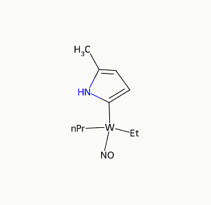 CC[CH2][W]([CH2]C)([N]=O)[c]1ccc(C)[nH]1